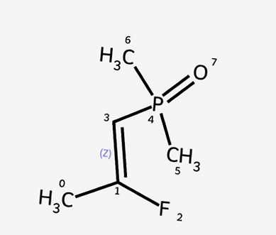 C/C(F)=C/P(C)(C)=O